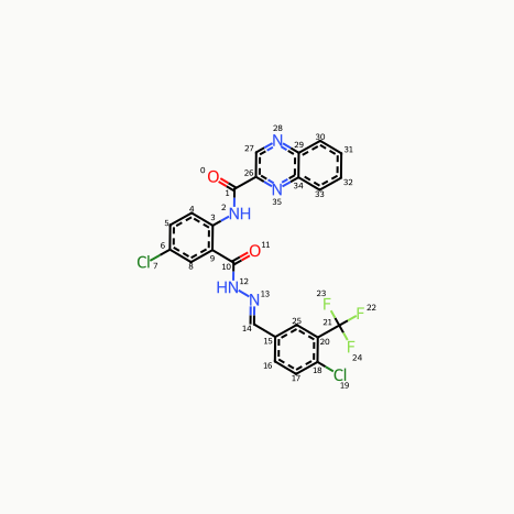 O=C(Nc1ccc(Cl)cc1C(=O)NN=Cc1ccc(Cl)c(C(F)(F)F)c1)c1cnc2ccccc2n1